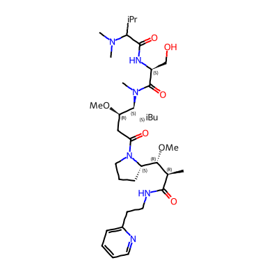 CC[C@H](C)[C@@H]([C@@H](CC(=O)N1CCC[C@H]1[C@H](OC)[C@@H](C)C(=O)NCCc1ccccn1)OC)N(C)C(=O)[C@H](CO)NC(=O)C(C(C)C)N(C)C